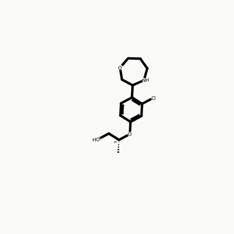 C[C@H](CO)Oc1ccc(C2COCCCN2)c(Cl)c1